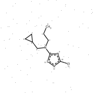 CCCN(CC1CC1)c1nc(Cl)ns1